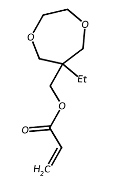 C=CC(=O)OCC1(CC)COCCOC1